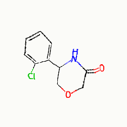 O=C1COCC(c2ccccc2Cl)N1